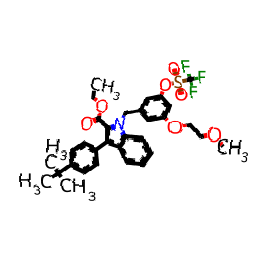 CCOC(=O)c1c(-c2ccc(C(C)(C)C)cc2)c2ccccc2n1Cc1cc(OCCOC)cc(OS(=O)(=O)C(F)(F)F)c1